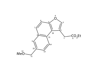 CCOC(=O)Cc1coc2ccc3cc(COC)ccc3c12